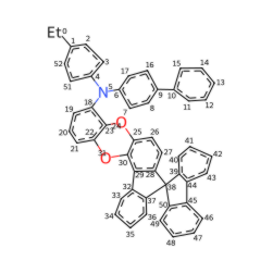 CCc1ccc(N(c2ccc(-c3ccccc3)cc2)c2cccc3c2Oc2ccc4c(c2O3)-c2ccccc2C42c3ccccc3-c3ccccc32)cc1